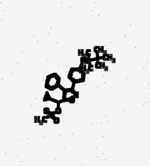 CC(C)(C)[Si](C)(C)Oc1ccc(-c2noc(C(OS(C)(=O)=O)C3CC3)c2-c2ccccc2)cc1